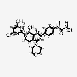 CCNC(=O)Nc1ccc(-c2nc3c(c(N4CCOCC4)n2)CCN(c2nc(C)cc(Cl)n2)[C@@H]3C)cc1